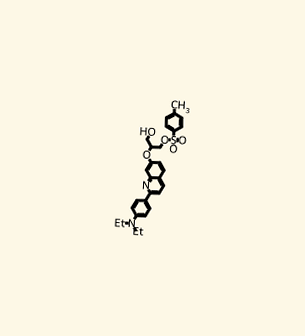 CCN(CC)c1ccc(-c2ccc3ccc(OC(CO)COS(=O)(=O)c4ccc(C)cc4)cc3n2)cc1